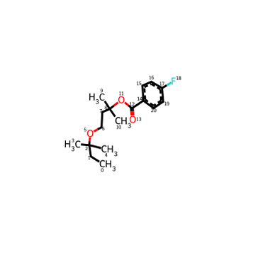 CCC(C)(C)OCCC(C)(C)OC(=O)c1ccc(F)cc1